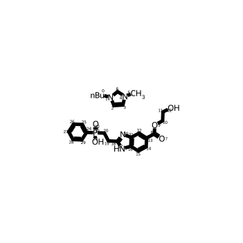 CCCCN1C=CN(C)C1.O=C(OCCO)c1ccc2[nH]c(CCP(=O)(O)c3ccccc3)nc2c1